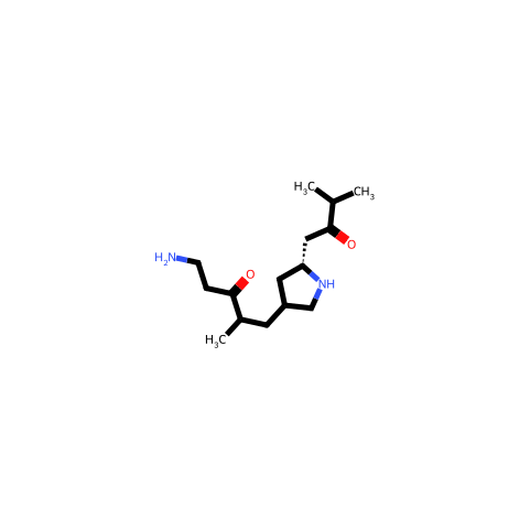 CC(C)C(=O)C[C@H]1CC(CC(C)C(=O)CCN)CN1